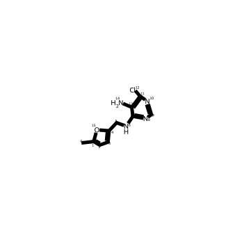 Cc1ccc(CNc2ncnc(Cl)c2N)o1